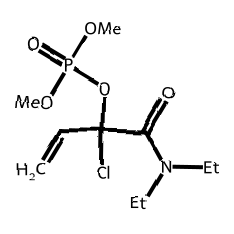 C=CC(Cl)(OP(=O)(OC)OC)C(=O)N(CC)CC